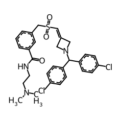 CN(C)CCNC(=O)c1cccc(CS(=O)(=O)C=C2CN(C(c3ccc(Cl)cc3)c3ccc(Cl)cc3)C2)c1